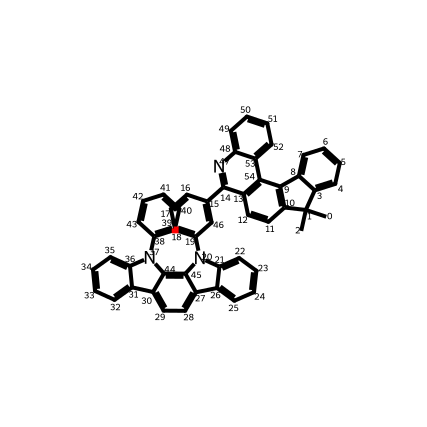 CC1(C)c2ccccc2-c2c1ccc1c(-c3cccc(-n4c5ccccc5c5ccc6c7ccccc7n(-c7ccccc7)c6c54)c3)nc3ccccc3c21